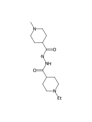 CCN1CCC(C(=O)N[N]C(=O)C2CCN(C)CC2)CC1